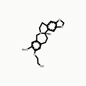 COc1cc2c(cc1OCCO)CC[C@H]1c3cc4c(cc3CCN1C2)OCO4